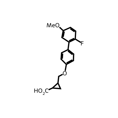 COc1ccc(F)c(-c2ccc(OCC3CC3C(=O)O)cc2)c1